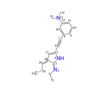 CC/N=C1/NC(C#Cc2cccc(N(C)C)c2)=C/C1=C/CF